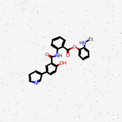 CCNc1ccccc1OC(=O)c1ccccc1NC(=O)c1cc(-c2cccnc2)ccc1O